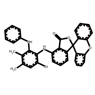 CCc1cc(C)c(C)c(Nc2ccccc2)c1Nc1cccc2c1C(=O)OC21c2ccccc2Oc2ccccc21